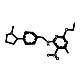 CCOc1nc(C)c([N+](=O)[O-])c(NCc2ccc(C3CCCN3C)cc2)n1